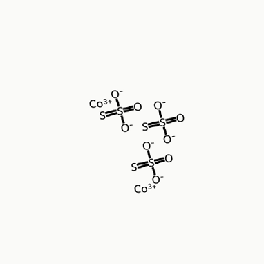 O=S([O-])([O-])=S.O=S([O-])([O-])=S.O=S([O-])([O-])=S.[Co+3].[Co+3]